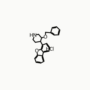 Cl.c1ccc(COC2CNCCC2c2cccc3c2oc2ccccc23)cc1